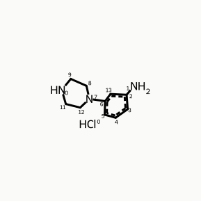 Cl.Nc1cccc(N2CCNCC2)c1